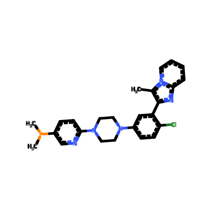 Cc1c(-c2cc(N3CCN(c4ccc(P(C)C)cn4)CC3)ccc2Cl)nc2ccccn12